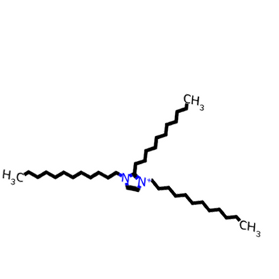 CCCCCCCCCCCCn1cc[n+](CCCCCCCCCCCC)c1CCCCCCCCCCC